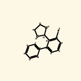 Fc1cccc(-c2ccccc2)c1C1OCCO1